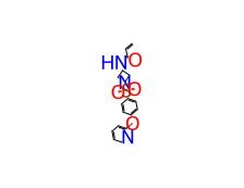 C=CC(=O)NC1CN(S(=O)(=O)c2ccc(Oc3ccccn3)cc2)C1